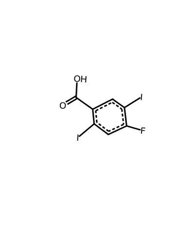 O=C(O)c1cc(I)c(F)cc1I